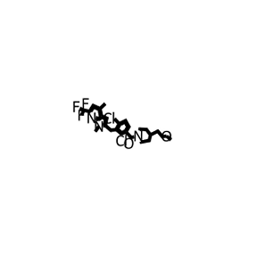 COCCC1CCN(C(=O)c2ccc(Cl)c(Cc3cc4c(C)cc(C(F)(F)F)nc4n3C)c2Cl)CC1